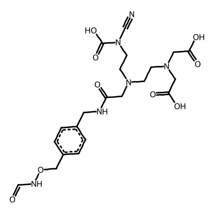 N#CN(CCN(CCN(CC(=O)O)CC(=O)O)CC(=O)NCc1ccc(CONC=O)cc1)C(=O)O